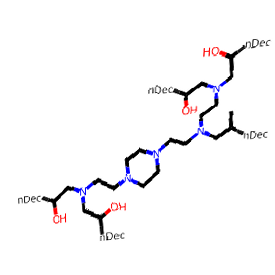 CCCCCCCCCCC(C)CN(CCN1CCN(CCN(CC(O)CCCCCCCCCC)CC(O)CCCCCCCCCC)CC1)CCN(CC(O)CCCCCCCCCC)CC(O)CCCCCCCCCC